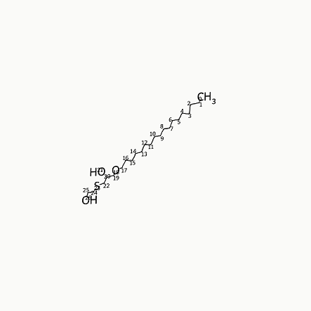 CCCCCCCCCCCCCCCCCCOCC(O)CSCCO